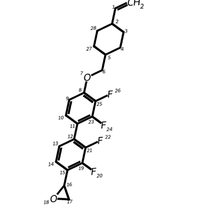 C=CC1CCC(COc2ccc(-c3ccc(C4CO4)c(F)c3F)c(F)c2F)CC1